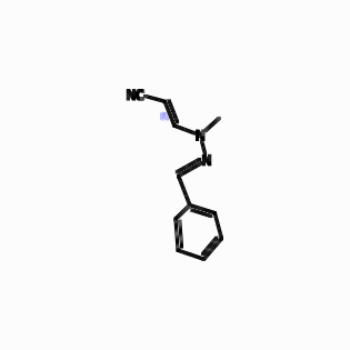 CN(/C=C/C#N)N=Cc1ccccc1